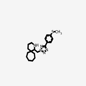 CSc1ccc(-c2nnn(CC3NCCCC34CCCCCC4)n2)cc1